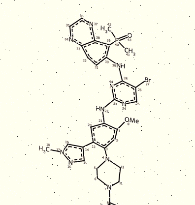 COc1cc(N2CCN(C(N)=O)CC2)c(-c2cnn(C)c2)cc1Nc1ncc(Br)c(Nc2ccc3nccnc3c2P(C)(C)=O)n1